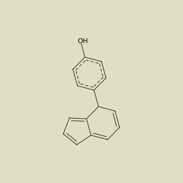 Oc1ccc(C2C=CC=C3C=CC=C32)cc1